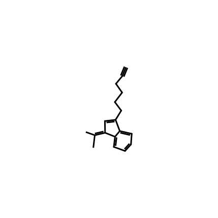 C#CCCCCC1=CC(=C(C)C)c2ccccc21